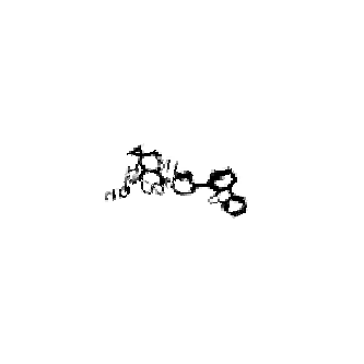 O=C(NO)C1CC2(CC2)CNC1C(=O)N1CCC(c2cccc3c2oc2ccccc23)CC1